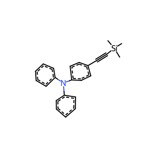 C[Si](C)(C)C#Cc1ccc(N(c2ccccc2)c2ccccc2)cc1